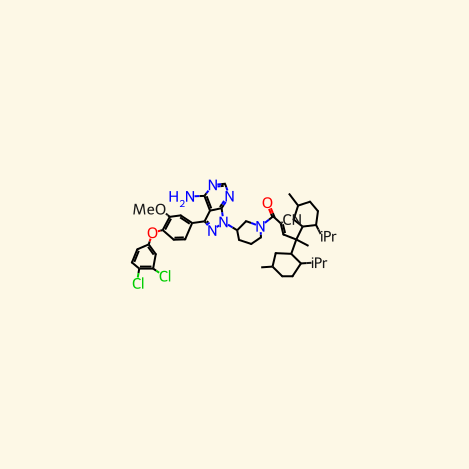 COc1cc(-c2nn(C3CCCN(C(=O)C(C#N)=CC(C)(C4CC(C)CCC4C(C)C)C4CC(C)CCC4C(C)C)C3)c3ncnc(N)c23)ccc1Oc1ccc(Cl)c(Cl)c1